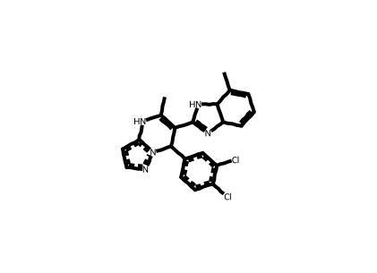 CC1=CC=CC2N=C(C3=C(C)Nc4ccnn4C3c3ccc(Cl)c(Cl)c3)NC12